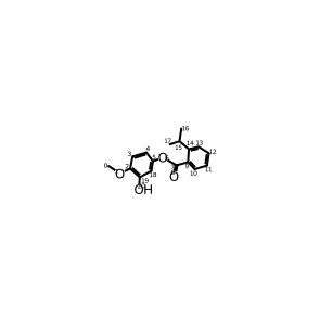 COc1ccc(OC(=O)c2ccccc2C(C)C)cc1O